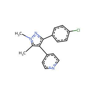 Cc1c(-c2ccncc2)c(-c2ccc(Cl)cc2)nn1C